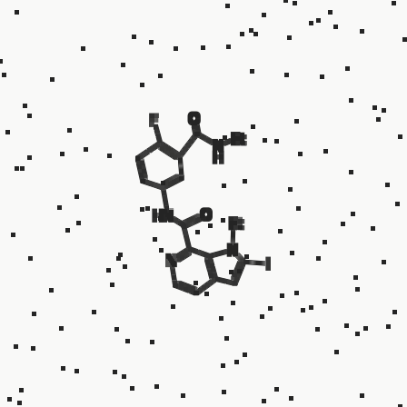 CCNC(=O)c1cc(NC(=O)c2nccc3cc(I)n(CC)c23)ccc1F